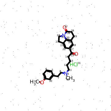 COc1cccc(CCN(C)CCCCC(=O)c2cc3c4c(c2)CCN4C(=O)CC3)c1.Cl